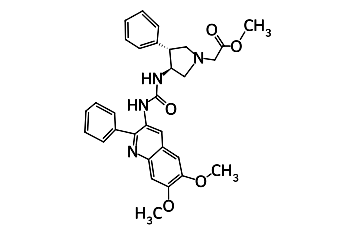 COC(=O)CN1C[C@@H](NC(=O)Nc2cc3cc(OC)c(OC)cc3nc2-c2ccccc2)[C@H](c2ccccc2)C1